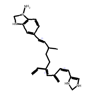 C=C/C(=C/C(=C)/C=C\C1=CNCN1)CCC(C)/C=C/c1ccc2c(c1)NCN2N